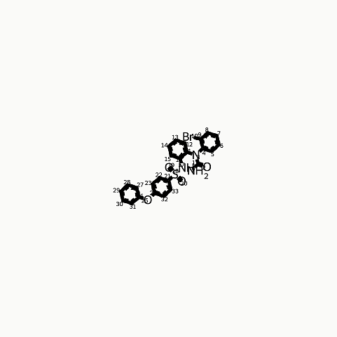 NC(=O)N(c1ccccc1Br)c1ccccc1NS(=O)(=O)c1ccc(Oc2ccccc2)cc1